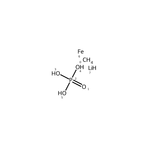 C.O=P(O)(O)O.[Fe].[LiH]